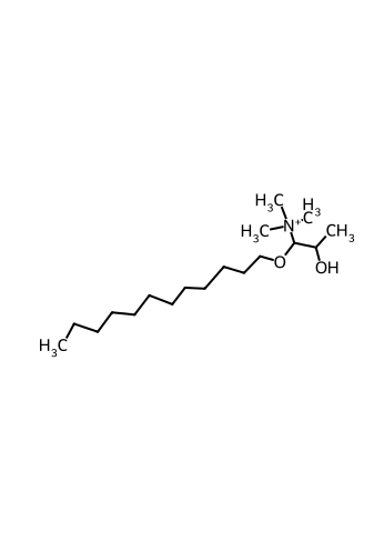 CCCCCCCCCCCCOC(C(C)O)[N+](C)(C)C